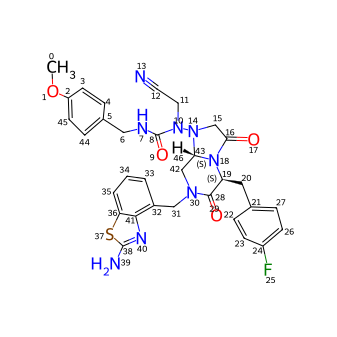 COc1ccc(CNC(=O)N(CC#N)N2CC(=O)N3[C@@H](Cc4ccc(F)cc4)C(=O)N(Cc4cccc5sc(N)nc45)C[C@@H]32)cc1